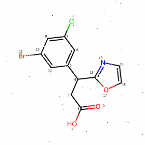 O=C(O)CC(c1cc(Cl)cc(Br)c1)c1ncco1